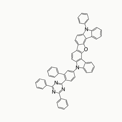 c1ccc(-c2nc(-c3ccccc3)nc(-c3ccc(-n4c5ccccc5c5c6oc7c(ccc8c7c7ccccc7n8-c7ccccc7)c6ccc54)cc3-c3ccccc3)n2)cc1